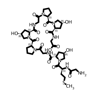 CSCC[C@H](NC(=O)CN)C(=O)N1C[C@H](O)C[C@H]1C(=O)NCC(=O)N1CCC[C@H]1C(=O)N1C[C@H](O)C[C@H]1C(=O)NCC(=O)N1CCC[C@H]1C(=O)N1C[C@H](O)C[C@H]1C(=O)NCC(=O)O